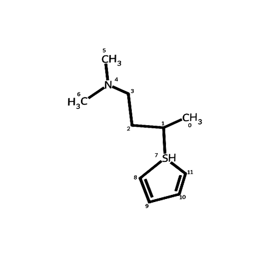 CC(CCN(C)C)[SH]1C=CC=C1